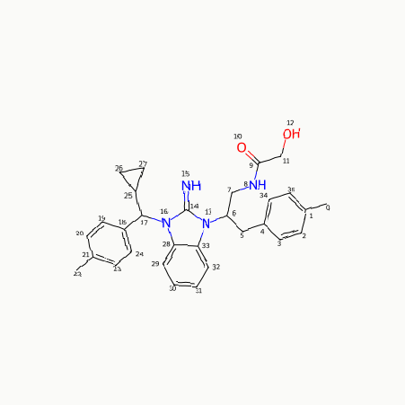 Cc1ccc(CC(CNC(=O)CO)n2c(=N)n(C(c3ccc(C)cc3)C3CC3)c3ccccc32)cc1